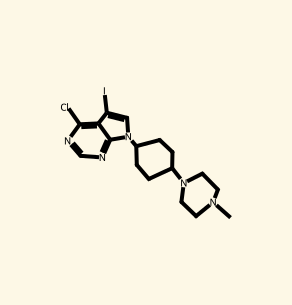 CN1CCN(C2CCC(n3cc(I)c4c(Cl)ncnc43)CC2)CC1